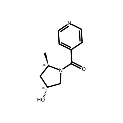 C[C@@H]1C[C@@H](O)CN1C(=O)c1ccncc1